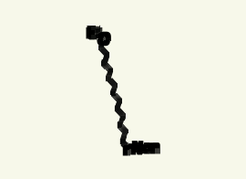 [CH2]COCCCCCCCCCCCCCCCCCCCCCC